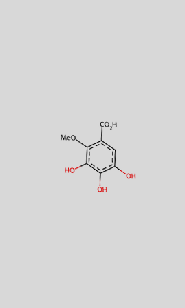 COc1c(C(=O)O)cc(O)c(O)c1O